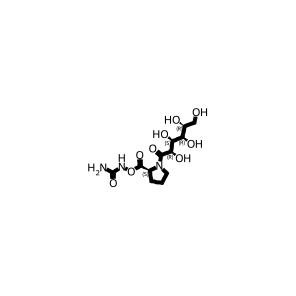 NC(=O)NOC(=O)[C@@H]1CCCN1C(=O)[C@H](O)[C@@H](O)[C@H](O)[C@H](O)CO